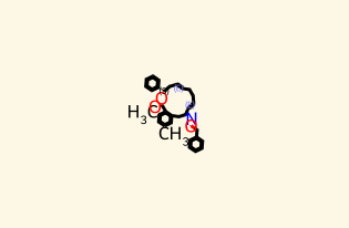 Cc1cc(C)c2c(c1)CC(=NOCc1ccccc1)/C=C/CC/C=C/C[C@@H](c1ccccc1)OC2=O